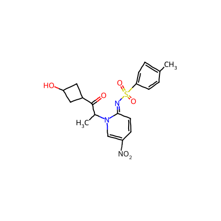 Cc1ccc(S(=O)(=O)/N=c2\ccc([N+](=O)[O-])cn2C(C)C(=O)C2CC(O)C2)cc1